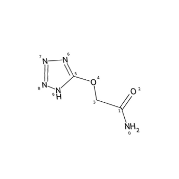 NC(=O)COc1nnn[nH]1